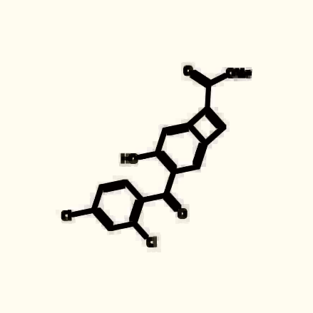 COC(=O)C1=Cc2cc(C(=O)c3ccc(Cl)cc3Cl)c(O)cc21